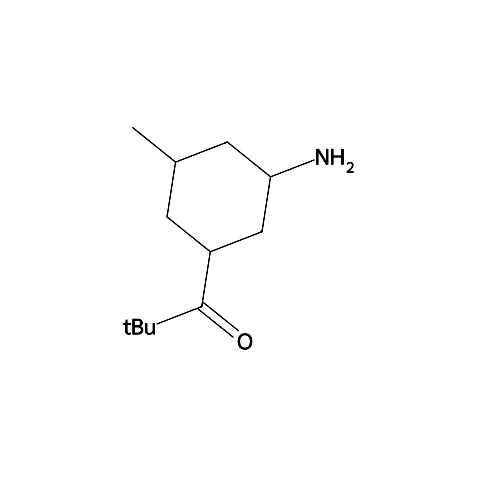 CC1CC(N)CC(C(=O)C(C)(C)C)C1